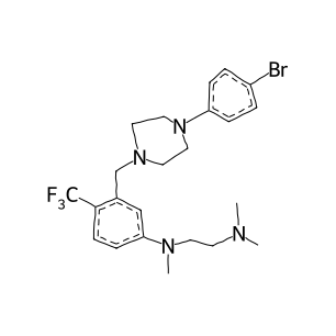 CN(C)CCN(C)c1ccc(C(F)(F)F)c(CN2CCN(c3ccc(Br)cc3)CC2)c1